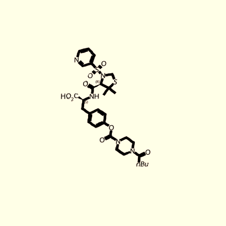 CCCCC(=O)N1CCN(C(=O)Oc2ccc(C[C@H](NC(=O)[C@H]3N(S(=O)(=O)c4cccnc4)CSC3(C)C)C(=O)O)cc2)CC1